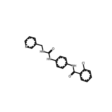 O=C(NCc1cccnc1)Nc1ccc(NC(=O)c2ccccc2Cl)cc1